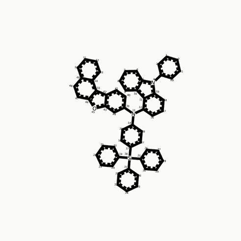 c1ccc(-n2c3ccccc3c3c(N(c4ccc([Si](c5ccccc5)(c5ccccc5)c5ccccc5)cc4)c4ccc5c(c4)oc4ccc6ccccc6c45)cccc32)cc1